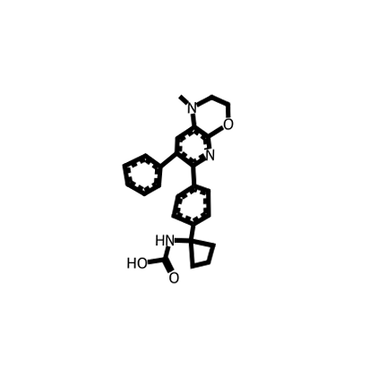 CN1CCOc2nc(-c3ccc(C4(NC(=O)O)CCC4)cc3)c(-c3ccccc3)cc21